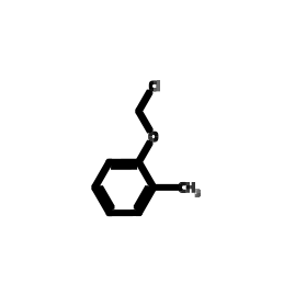 Cc1ccccc1OCCl